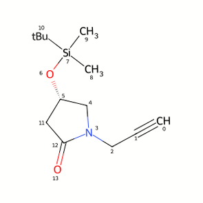 C#CCN1C[C@@H](O[Si](C)(C)C(C)(C)C)CC1=O